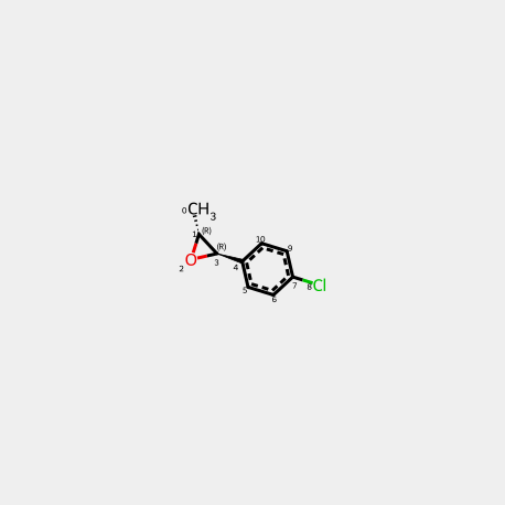 C[C@H]1O[C@@H]1c1ccc(Cl)cc1